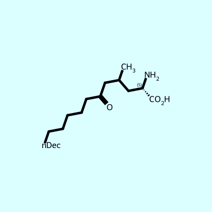 CCCCCCCCCCCCCCCC(=O)CC(C)C[C@H](N)C(=O)O